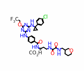 O=C(NCC[C@H](NC(=O)c1ccc(Nc2nc(NC3(c4ccc(Cl)cc4)CC3)nc(OCC(F)(F)F)n2)cc1)C(=O)O)C(=O)NCC1CCCOC1